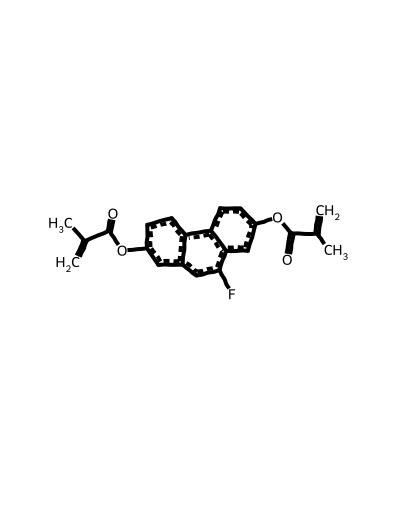 C=C(C)C(=O)Oc1ccc2c(c1)cc(F)c1cc(OC(=O)C(=C)C)ccc12